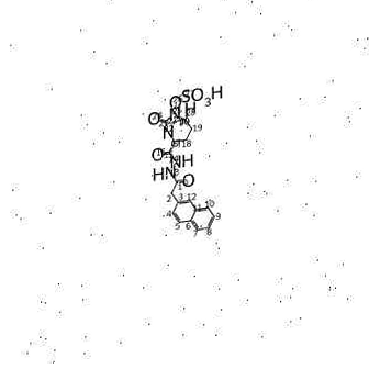 O=C(Cc1ccc2ccccc2c1)NNC(=O)[C@@H]1CC[C@@H]2CN1C(=O)N2OS(=O)(=O)O